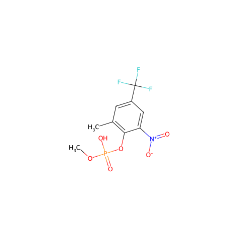 COP(=O)(O)Oc1c(C)cc(C(F)(F)F)cc1[N+](=O)[O-]